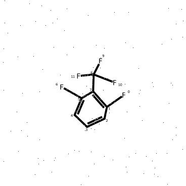 Fc1c[c]cc(F)c1C(F)(F)F